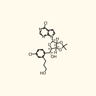 CC1(C)O[C@H]2[C@@H](O1)[C@H](n1ccc3c(Cl)ncnc31)O[C@@H]2[C@H](O)c1ccc(Cl)cc1CCCO